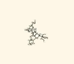 CCC(O)(CC)c1ccc2c(CN3CCOCC3)c(-c3n[nH]c4cc(COC)sc34)[nH]c2c1